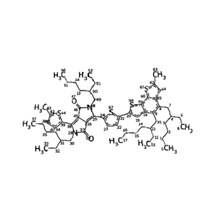 CCCCC(CC)Cc1c(CC(CC)CCCC)c2cc(-c3ccc(C4=C5C(=O)N(CC(CC)CCCC)C(c6ccc(C)s6)=C5C(=O)N4CC(CC)CCCC)s3)sc2c2sc(C)cc12